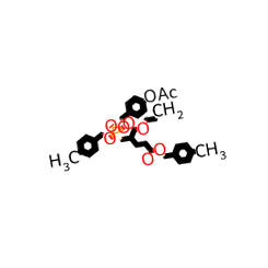 C=CCOC(=O)C(CCC(=O)OCc1ccc(C)cc1)CP(=O)(OCc1ccc(C)cc1)OCc1ccc(OC(C)=O)cc1